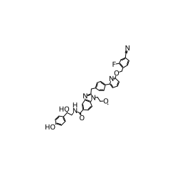 COCCn1c(Cc2ccc(-c3cccc(OCc4ccc(C#N)cc4F)n3)cc2)nc2cc(C(=O)NCC(O)c3ccc(O)cc3)ccc21